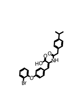 CC(C)c1ccc(CC(=O)NC(=Cc2ccc(Oc3ccccc3Br)cc2)C(=O)O)cc1